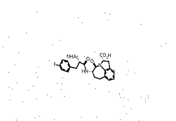 CC(=O)N[C@@H](Cc1ccc(F)cc1)C(=O)N[C@H]1CCc2cccc3c2N(C1=O)[C@H](C(=O)O)C3